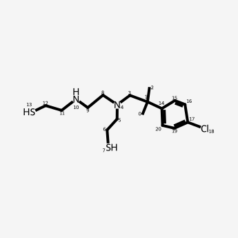 CC(C)(CN(CCS)CCNCCS)c1ccc(Cl)cc1